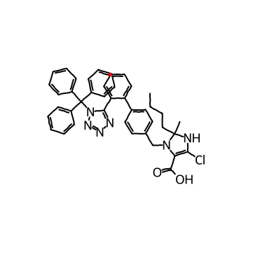 CCCCC1(C)NC(Cl)=C(C(=O)O)N1Cc1ccc(-c2ccccc2-c2nnnn2C(c2ccccc2)(c2ccccc2)c2ccccc2)cc1